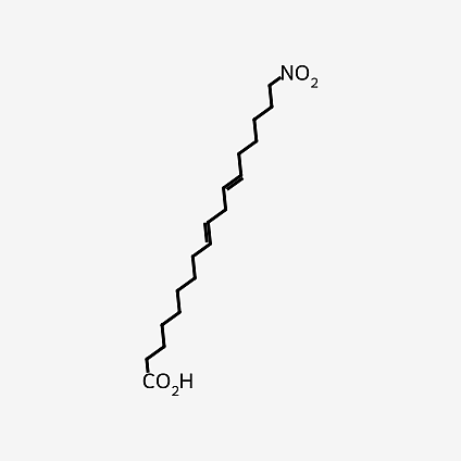 O=C(O)CCCCCCCC=CCC=CCCCCC[N+](=O)[O-]